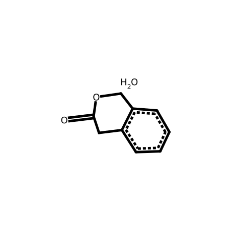 O.O=C1Cc2ccccc2CO1